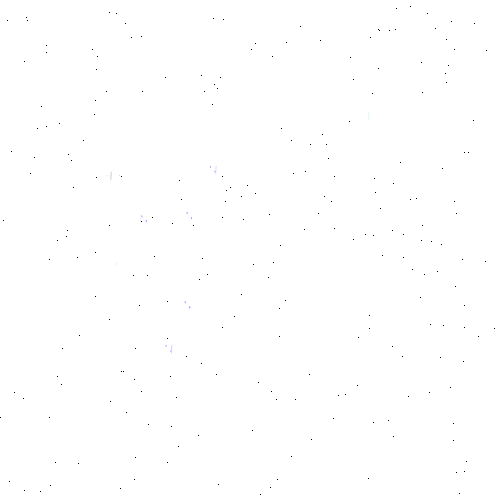 Cc1cc(N2CCC(Oc3ccc(F)c(F)c3)CC2)nc(-c2cn3ccnc3cc2C)n1